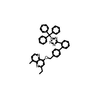 CCc1cc(OCc2ccc(-c3ccccc3-c3nnn(C(c4ccccc4)(c4ccccc4)c4ccccc4)n3)cc2)c2nccc(C)c2n1